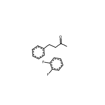 CC(=O)CCc1ccccc1.Fc1ccccc1F